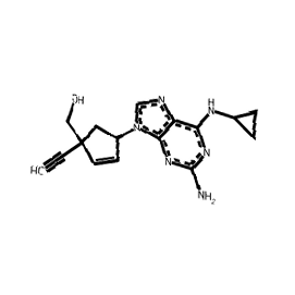 C#CC1(CO)C=CC(n2cnc3c(NC4CC4)nc(N)nc32)C1